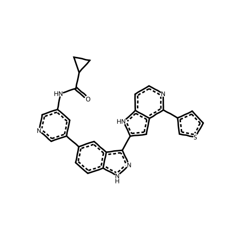 O=C(Nc1cncc(-c2ccc3[nH]nc(-c4cc5c(-c6ccsc6)nccc5[nH]4)c3c2)c1)C1CC1